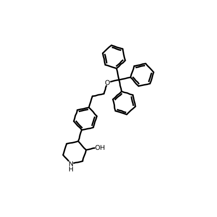 OC1CNCCC1c1ccc(CCOC(c2ccccc2)(c2ccccc2)c2ccccc2)cc1